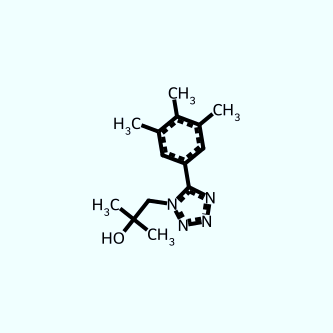 Cc1cc(-c2nnnn2CC(C)(C)O)cc(C)c1C